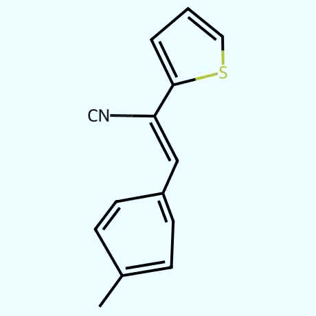 [C-]#[N+]/C(=C\c1ccc(C)cc1)c1cccs1